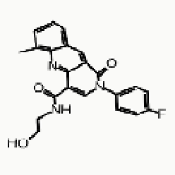 Cc1cccc2cc3c(=O)n(-c4ccc(F)cc4)cc(C(=O)NCCO)c3nc12